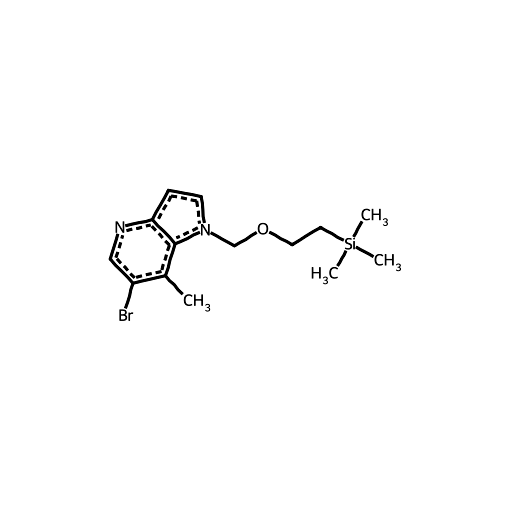 Cc1c(Br)cnc2ccn(COCC[Si](C)(C)C)c12